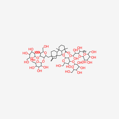 C=C1CC23CCC4C(C)(C(=O)OC5OC(CO)C(O)C(OC6OC(CO)C(O)C(O)C6O)C5OC(O)C(O)C(OC5OC(CO)C(O)C(O)C5O)C(O)C(C)C)CCCC4(C)C2CCC1(CC1OC(CO)C(O)C(OC2OC(CO)C(O)C(O)C2O)C1OC1OC(CO)C(O)C(O)C1O)C3